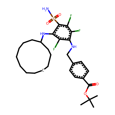 CC(C)(C)OC(=O)c1ccc(CNc2c(F)c(F)c(S(N)(=O)=O)c(NC3CCCCCCCCCCC3)c2F)cc1